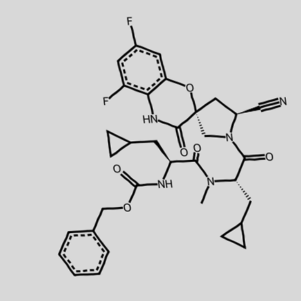 CN(C(=O)[C@H](CC1CC1)NC(=O)OCc1ccccc1)[C@@H](CC1CC1)C(=O)N1C[C@@]2(C[C@H]1C#N)Oc1cc(F)cc(F)c1NC2=O